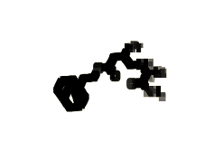 CCCC(CN[C@@H](CC)C(N)=O)CC(=O)OCCC12CC3CC(CC(C3)C1)C2